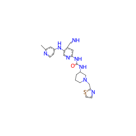 Cc1cc(Nc2cnc(NC(=O)NC3CCCN(Cc4nccs4)C3)cc2C=N)ccn1